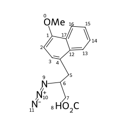 COc1ccc(CC(CC(=O)O)N=[N+]=[N-])c2ccccc12